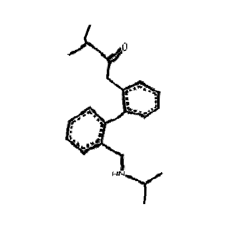 CC(C)NCc1ccccc1-c1ccccc1CC(=O)C(C)C